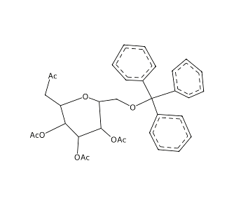 CC(=O)CC1OC(COC(c2ccccc2)(c2ccccc2)c2ccccc2)C(OC(C)=O)C(OC(C)=O)C1OC(C)=O